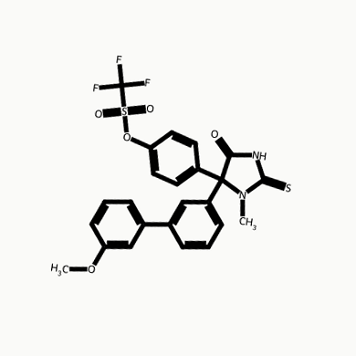 COc1cccc(-c2cccc(C3(c4ccc(OS(=O)(=O)C(F)(F)F)cc4)C(=O)NC(=S)N3C)c2)c1